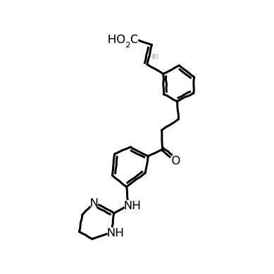 O=C(O)/C=C/c1cccc(CCC(=O)c2cccc(NC3=NCCCN3)c2)c1